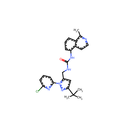 Cc1nccc2c(NC(=O)NCc3cc(C(C)(C)C)nn3-c3cccc(Cl)n3)cccc12